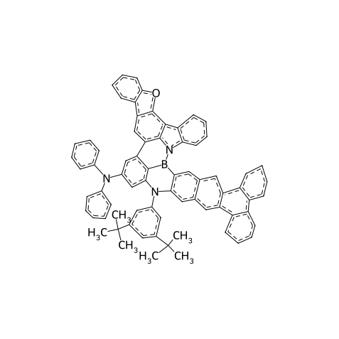 CC(C)(C)c1cc(N2c3cc4cc5c6ccccc6c6ccccc6c5cc4cc3B3c4c(cc(N(c5ccccc5)c5ccccc5)cc42)-c2cc4c5ccccc5oc4c4c5ccccc5n3c24)cc(C(C)(C)C)c1